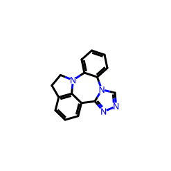 c1cc2c3c(c1)-c1nncn1-c1ccccc1N3CC2